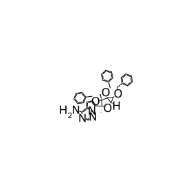 C[C@]1(OCc2ccccc2)[C@](C)(c2ccc3c(N)ncnn23)O[C@@H]2C(OCc3ccccc3)[C@@]21OCc1ccccc1